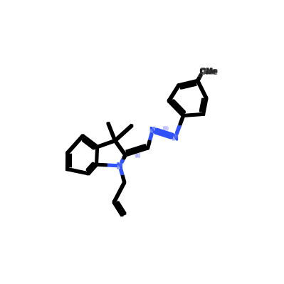 C=CCN1/C(=C/N=N/c2ccc(OC)cc2)C(C)(C)c2ccccc21